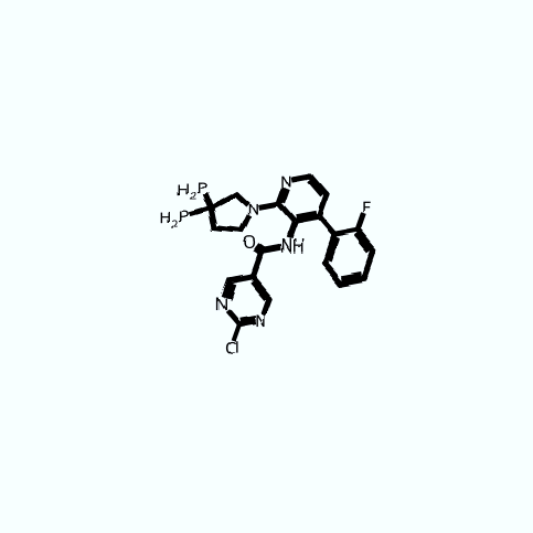 O=C(Nc1c(-c2ccccc2F)ccnc1N1CCC(P)(P)C1)c1cnc(Cl)nc1